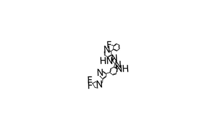 Fc1ccccc1-c1nccc2[nH]c(-c3n[nH]c4ccc(-c5cncc(CN6CCC(F)(F)C6)c5)cc34)nc12